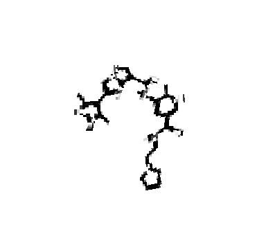 Cc1nn(C)c(C)c1-c1cn2ncc(C(=O)NC3=CC(C(=O)NCCN4CCCC4)=CNC3C)c2s1